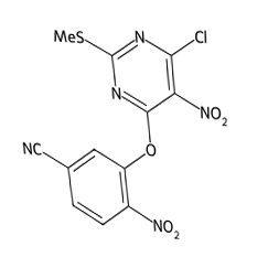 CSc1nc(Cl)c([N+](=O)[O-])c(Oc2cc(C#N)ccc2[N+](=O)[O-])n1